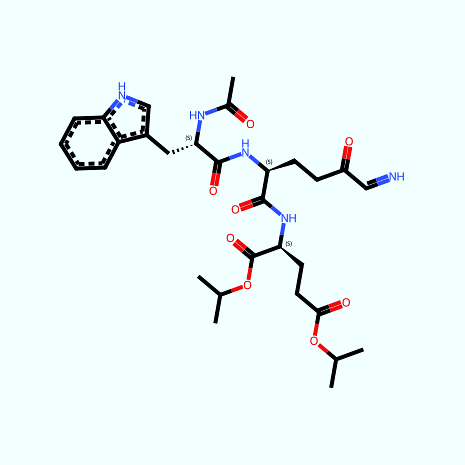 CC(=O)N[C@@H](Cc1c[nH]c2ccccc12)C(=O)N[C@@H](CCC(=O)C=N)C(=O)N[C@@H](CCC(=O)OC(C)C)C(=O)OC(C)C